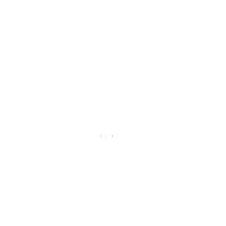 O=Cc1cc(I)cc(I)c1